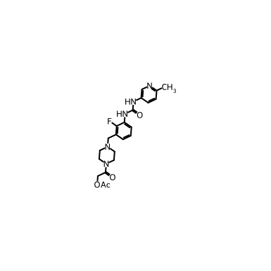 CC(=O)OCC(=O)N1CCN(Cc2cccc(NC(=O)Nc3ccc(C)nc3)c2F)CC1